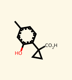 Cc1ccc(C2(C(=O)O)CC2)c(O)c1